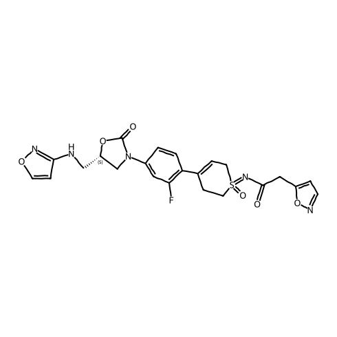 O=C(Cc1ccno1)N=S1(=O)CC=C(c2ccc(N3C[C@H](CNc4ccon4)OC3=O)cc2F)CC1